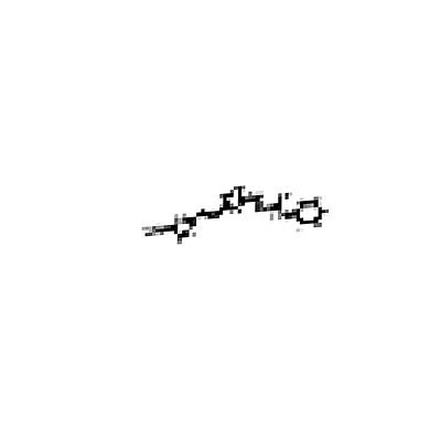 CC(C)(C)c1cnc(/C=C/c2cnc(CNC(=O)NC3CCCCC3)s2)o1